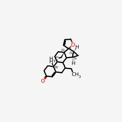 CCC1CC2=CC(=O)CC[C@@H]2C2CC[C@@]3(CC)C(C12)[C@@H]1C[C@@H]1[C@@]31C=CCO1